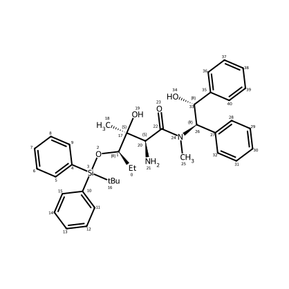 CC[C@@H](O[Si](c1ccccc1)(c1ccccc1)C(C)(C)C)[C@@](C)(O)[C@H](N)C(=O)N(C)[C@H](c1ccccc1)[C@H](O)c1ccccc1